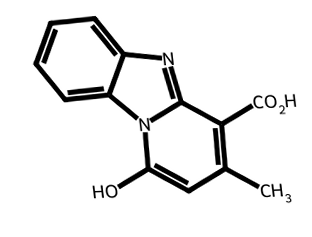 Cc1cc(O)n2c(nc3ccccc32)c1C(=O)O